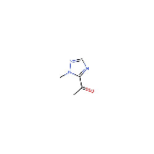 CC(=O)c1ncnn1C